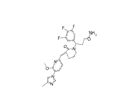 COc1nc(/C=C2\CCCN(C(CCON)c3cc(F)c(F)c(F)c3)C2=O)ccc1-n1cnc(C)c1